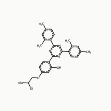 CCCCC(CC)COc1ccc(-c2nc(-c3ccc(C)cc3C)nc(-c3ccc(C)cc3C)n2)c(O)c1